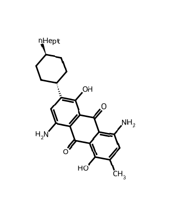 CCCCCCC[C@H]1CC[C@H](c2cc(N)c3c(c2O)C(=O)c2c(N)cc(C)c(O)c2C3=O)CC1